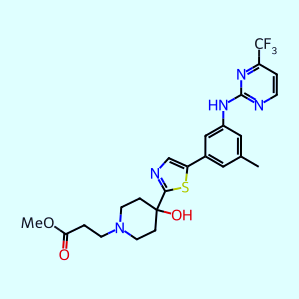 COC(=O)CCN1CCC(O)(c2ncc(-c3cc(C)cc(Nc4nccc(C(F)(F)F)n4)c3)s2)CC1